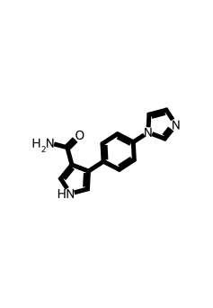 NC(=O)c1c[nH]cc1-c1ccc(-n2ccnc2)cc1